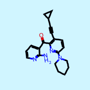 Nc1ncccc1C(=O)c1nc(N2CCCCC2)ccc1C#CC1CC1